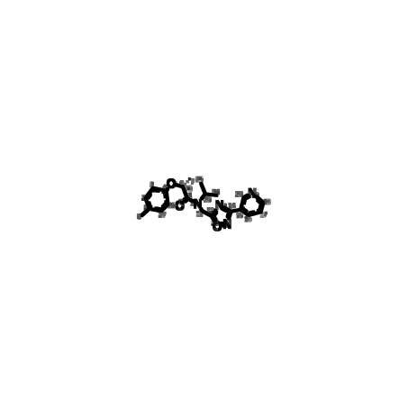 Cc1ccc(O[C@H](C)C(=O)N(Cc2nc(-c3cccnc3)no2)C(C)C)cc1